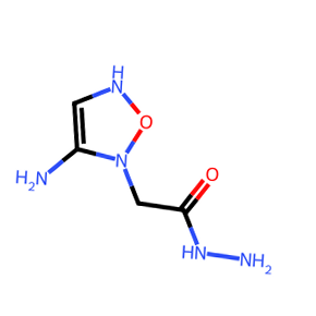 NNC(=O)CN1ONC=C1N